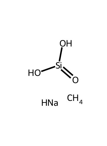 C.O=[Si](O)O.[NaH]